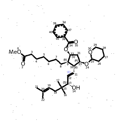 COC(=O)CCCCCC[C@@H]1[C@@H](/C=C/[C@H](O)C(C)(C)CC=C(C)C)[C@H](OC2CCCCO2)C[C@@H]1OC(=O)c1ccccc1